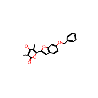 Cc1c(-c2cc3ccc(OCc4ccccc4)cc3o2)oc(=O)c(C)c1O